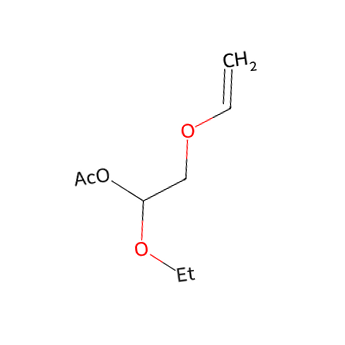 C=COCC(OCC)OC(C)=O